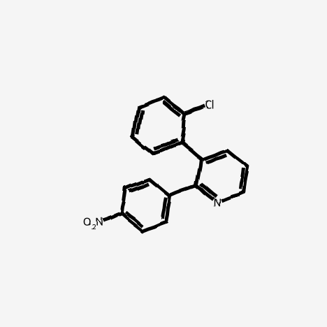 O=[N+]([O-])c1ccc(-c2ncccc2-c2ccccc2Cl)cc1